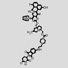 C#Cc1c(F)ccc2cc(O)cc(-c3ncc4c(N5CC6CCC(C5)N6)nc(OC[C@@]56CC[C@@H](COC(=O)N7CCN(CCNc8ccc9c(c8)C(=O)N(C8CCC(=O)NC8=O)C9=O)CC7)N5CC(=C)C6)nc4c3F)c12